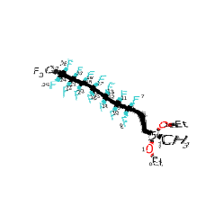 CCO[Si](C)(CCC(F)(F)C(F)(F)C(F)(F)C(F)(F)C(F)(F)C(F)(F)C(F)(F)C(F)(F)F)OCC